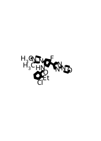 CCc1c(Cl)cccc1C(=O)Nc1cc(-c2cnc(N3CCOCC3)nc2)c(F)cc1N1CCN(C)[C@@H](C)C1